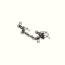 Cc1cc(NCCOCCOCCOCCOc2ccc(NC(=O)C[C@@H]3N=C(c4ccc(Cl)cc4)c4c(sc(C)c4C)-n4c(C)nnc43)cc2)ncc1-c1cc2c(cc1F)NC(=O)C2